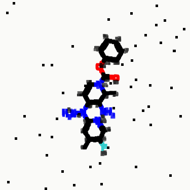 Cc1cc(N(N)C2=C(N)C(C)N(C(=O)Oc3ccccc3)C=C2)ncc1F